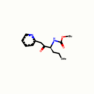 CSCC[C@H](NC(=O)OC(C)(C)C)C(=O)Cc1ccccn1